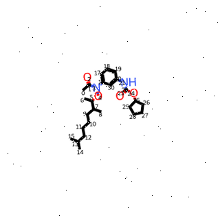 CC(=O)N(OC(C)C(C)CCCCC(C)C)c1cccc(NC(=O)OC2CCCC2)c1